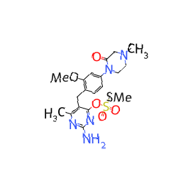 COc1cc(N2CCN(C)CC2=O)ccc1Cc1c(C)nc(N)nc1OS(=O)(=O)SC